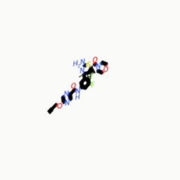 C#CCOc1cnc(C(=O)Nc2cc(F)c(F)c([C@@]3(C)N=C(N)S[C@@]4(C(=O)N5CCOCC5)C[C@H]43)c2)cn1